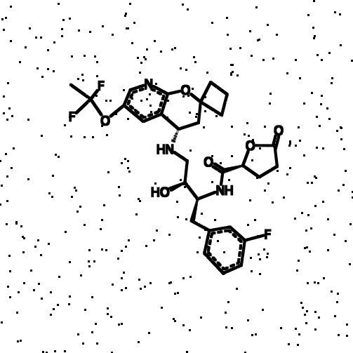 CC(F)(F)Oc1cnc2c(c1)[C@@H](NC[C@H](O)[C@H](Cc1cccc(F)c1)NC(=O)[C@@H]1CCC(=O)O1)CC1(CCC1)O2